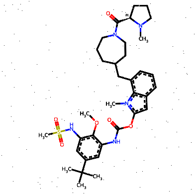 COc1c(NC(=O)Oc2cc3cccc(CC4CCCN(C(=O)[C@H]5CCCN5C)CC4)c3n2C)cc(C(C)(C)C)cc1NS(C)(=O)=O